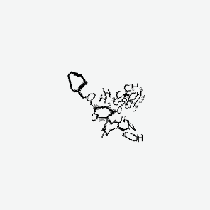 CC(C)(C)[Si](C)(C)O[C@@H]1C[C@@H](COCc2ccccc2)O[C@H]1n1cnc2c(O)ncnc21